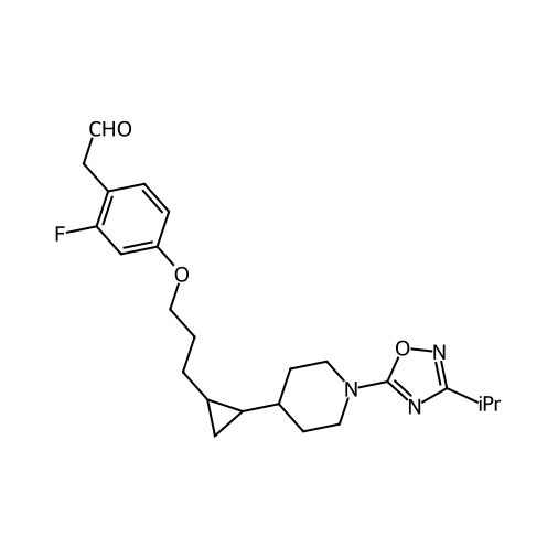 CC(C)c1noc(N2CCC(C3CC3CCCOc3ccc(CC=O)c(F)c3)CC2)n1